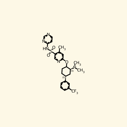 Cc1cc(OC2CC[C@H](c3cccc(C(F)(F)F)c3)C[C@@H]2N(C)C)ncc1S(=O)(=O)Nc1ccncn1